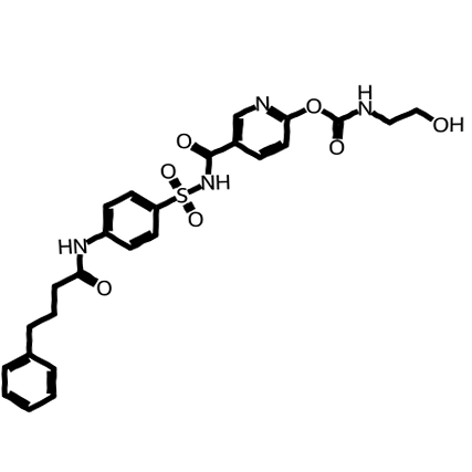 O=C(CCCc1ccccc1)Nc1ccc(S(=O)(=O)NC(=O)c2ccc(OC(=O)NCCO)nc2)cc1